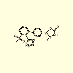 C[C@@H]1NC(=O)O[C@H]1c1ccc(-c2cccc(S(C)(=O)=O)c2-c2nnn[nH]2)cc1